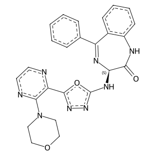 O=C1Nc2ccccc2C(c2ccccc2)=N[C@@H]1Nc1nnc(-c2nccnc2N2CCOCC2)o1